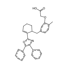 Cc1ccc(CC2CCCC=C2c2nc(-c3ccccc3)c(-c3ccccc3)o2)cc1OCC(=O)O